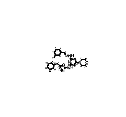 Cc1cccc(C=NNc2nc(Nc3nnc(Cc4ccccc4)o3)cc(N3CCOCC3)n2)c1